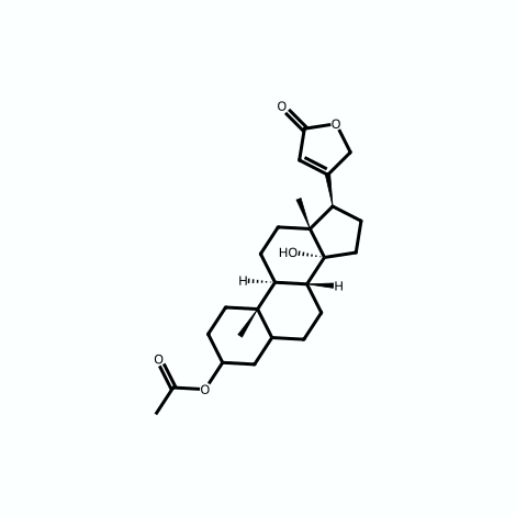 CC(=O)OC1CC[C@@]2(C)C(CC[C@@H]3[C@@H]2CC[C@]2(C)[C@@H](C4=CC(=O)OC4)CC[C@@]32O)C1